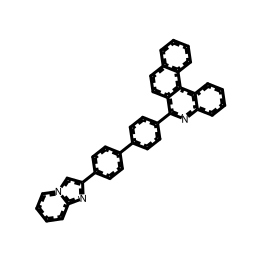 c1ccc2c(c1)ccc1c(-c3ccc(-c4ccc(-c5cn6ccccc6n5)cc4)cc3)nc3ccccc3c12